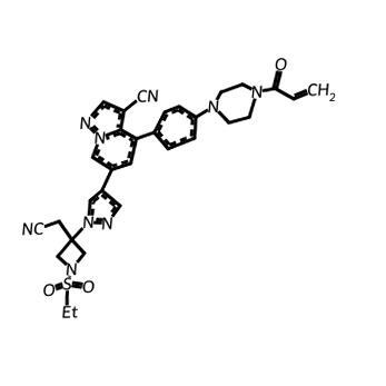 C=CC(=O)N1CCN(c2ccc(-c3cc(-c4cnn(C5(CC#N)CN(S(=O)(=O)CC)C5)c4)cn4ncc(C#N)c34)cc2)CC1